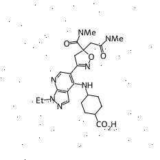 CCn1ncc2c(NC3CCC(C(=O)O)CC3)c(C3=NOC(CC(=O)NC)(C(=O)NC)C3)cnc21